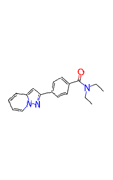 CCN(CC)C(=O)c1ccc(-c2cc3ccccn3n2)cc1